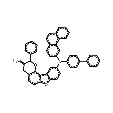 C=C1Cc2ccc3oc4ccc(N(c5ccc(-c6ccccc6)cc5)c5ccc6ccc7ccccc7c6c5)cc4c3c2OC1c1ccccc1